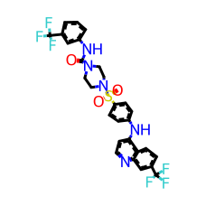 O=C(Nc1cccc(C(F)(F)F)c1)N1CCN(S(=O)(=O)c2ccc(Nc3ccnc4cc(C(F)(F)F)ccc34)cc2)CC1